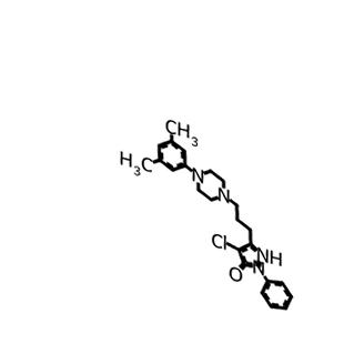 Cc1cc(C)cc(N2CCN(CCCc3[nH]n(-c4ccccc4)c(=O)c3Cl)CC2)c1